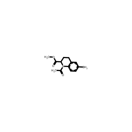 Bc1ccc2c(c1)CCC(C(=O)OC)N2C(C)=O